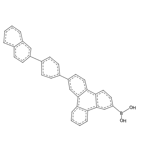 OB(O)c1ccc2c3ccc(-c4ccc(-c5ccc6ccccc6c5)cc4)cc3c3ccccc3c2c1